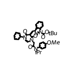 COc1ccc(N(C(=O)CN2C=CN(c3ccccc3)C(=O)C(=Cc3nn(C(=O)OC(C)(C)C)c4ccccc34)C2=O)C(C)C)cc1